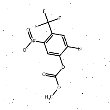 COC(=O)Oc1cc([N+](=O)[O-])c(C(F)(F)F)cc1Br